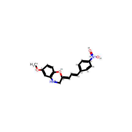 COc1ccc2c(c1)NC/C(=C/C=C/c1ccc([N+](=O)[O-])cc1)O2